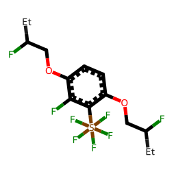 CCC(F)COc1ccc(OCC(F)CC)c(S(F)(F)(F)(F)F)c1F